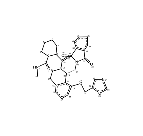 CNC(=O)C1CCCCC1C(=O)N1CCc2cccc(OCc3cnco3)c2[C@H]1CN1C(=O)c2ccccc2C1=O